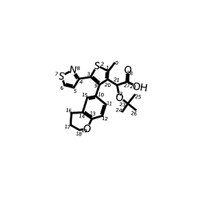 Cc1sc(-c2ccsn2)c(-c2ccc3c(c2)CCCO3)c1C(OC(C)(C)C)C(=O)O